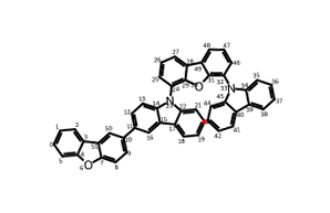 c1ccc2c(c1)oc1ccc(-c3ccc4c(c3)c3ccccc3n4-c3cccc4c3oc3c(-n5c6ccccc6c6ccccc65)cccc34)cc12